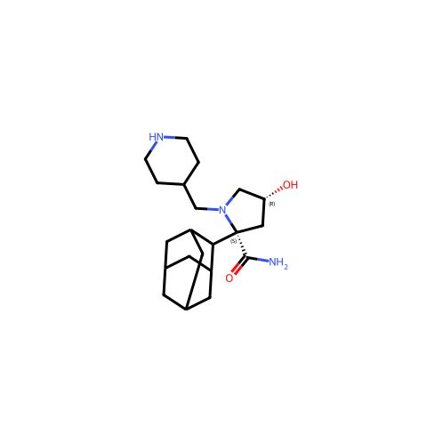 NC(=O)[C@@]1(C2C3CC4CC(C3)CC2C4)C[C@@H](O)CN1CC1CCNCC1